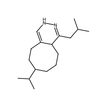 CC(C)CC1=NNC=C2CCC(C(C)C)CCCC21